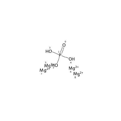 O=P(O)(O)O.[Mg+2].[Mg+2].[Mg+2].[Mg+2]